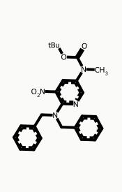 CN(C(=O)OC(C)(C)C)c1cnc(N(Cc2ccccc2)Cc2ccccc2)c([N+](=O)[O-])c1